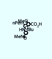 CCCCCC(CC(=O)Nc1cc(C(=O)NC)ccc1C(C)(C)C)c1ccc(C(=O)O)cc1OC